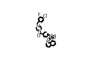 C=C(/C=C\C(=C/C)C(=O)N1CCN(Cc2ccc(Cl)c(F)c2)CC1)NS(=O)(=O)c1cccc2cccnc12